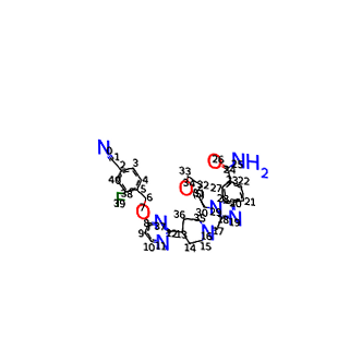 N#Cc1ccc(COc2ccnc(C3CCN(Cc4nc5ccc(C(N)=O)cc5n4C[C@@H]4CCO4)CC3)n2)c(F)c1